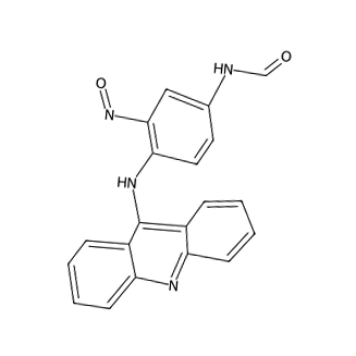 O=CNc1ccc(Nc2c3ccccc3nc3ccccc23)c(N=O)c1